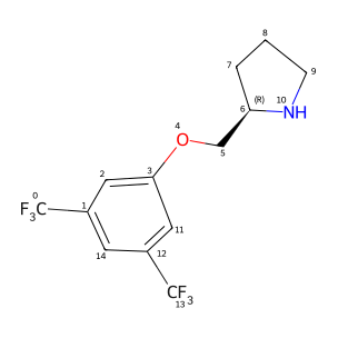 FC(F)(F)c1cc(OC[C@H]2CCCN2)cc(C(F)(F)F)c1